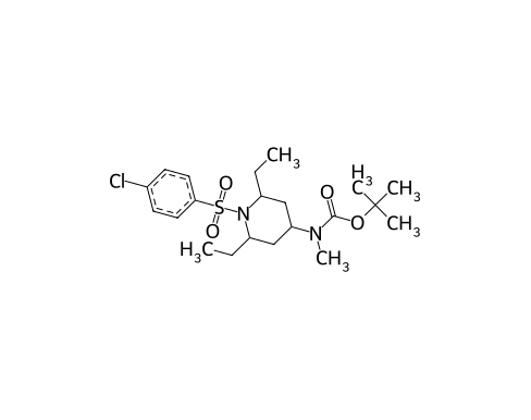 CCC1CC(N(C)C(=O)OC(C)(C)C)CC(CC)N1S(=O)(=O)c1ccc(Cl)cc1